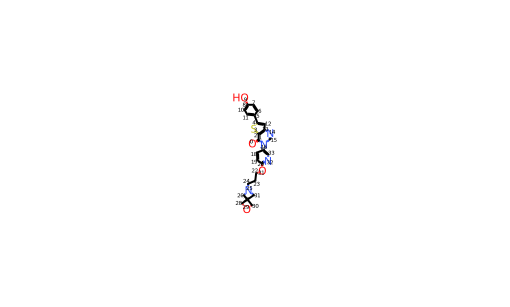 O=c1c2sc(-c3ccc(O)cc3)cc2ncn1-c1ccc(OCCCN2CC3(COC3)C2)nc1